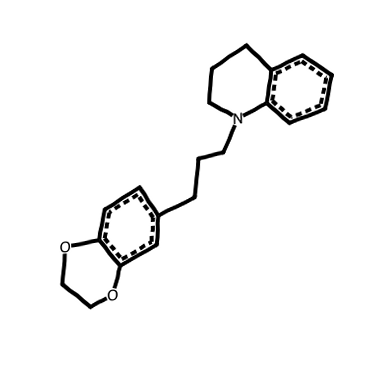 c1ccc2c(c1)CCCN2CCCc1ccc2c(c1)OCCO2